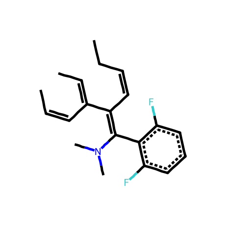 C\C=C/C(=C\C)C(/C=C\CC)=C(/c1c(F)cccc1F)N(C)C